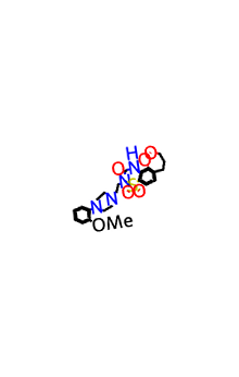 COc1ccccc1N1CCN(CCN2C(=O)Nc3c(ccc4c3OOCCC4)S2(=O)=O)CC1